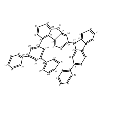 c1ccc(-c2ccc3c4ccccc4n(-c4ccc5c(c4)oc4cccc(-c6nc(-c7ccccc7)nc(-c7ccccc7)n6)c45)c3c2)cc1